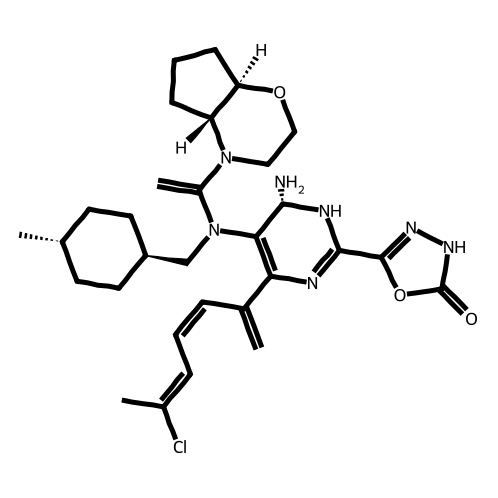 C=C(/C=C\C=C(/C)Cl)C1=C(N(C[C@H]2CC[C@H](C)CC2)C(=C)N2CCO[C@@H]3CCC[C@H]32)[C@H](N)NC(c2n[nH]c(=O)o2)=N1